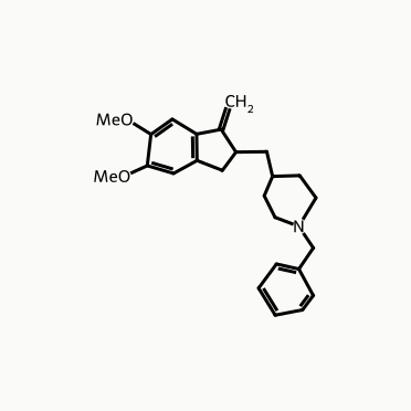 C=C1c2cc(OC)c(OC)cc2CC1CC1CCN(Cc2ccccc2)CC1